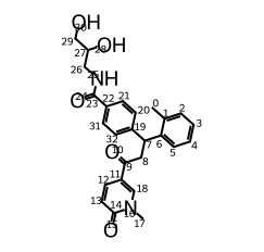 Cc1ccccc1C(CC(=O)c1ccc(=O)n(C)c1)c1ccc(C(=O)NCC(O)CO)cc1